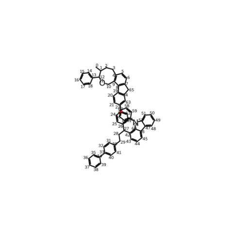 CC1CCc2ccc3c(c2COC1c1ccccc1)-c1ccc(-c2ccc(C(CCc4ccc(-c5ccccc5)cc4)c4cccc5c6ccccc6n(-c6ccccc6)c45)cc2)cc1C3